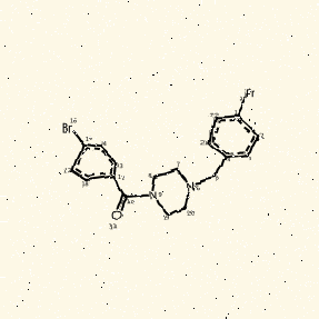 CC(C)c1ccc(CN2CCN(C(=O)c3ccc(Br)cc3)CC2)cc1